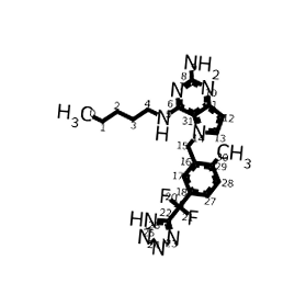 CCCCCNc1nc(N)nc2ccn(Cc3cc(C(F)(F)c4nnn[nH]4)ccc3C)c12